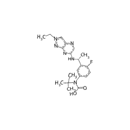 CCn1cc2ncc(NC(C)c3cc(N(C(=O)O)C(C)(C)C)ccc3F)nc2n1